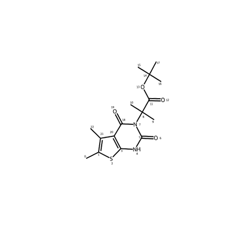 Cc1sc2[nH]c(=O)n(C(C)(C)C(=O)OC(C)(C)C)c(=O)c2c1C